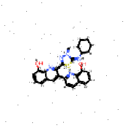 Cn1nc(-c2nc3c(O)cccc3cc2-c2ccc3cccc(O)c3n2)sc1=NC1CCCCC1